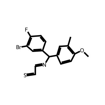 COc1ccc(C(N=CC=S)c2ccc(F)c(Br)c2)cc1C